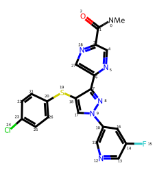 CNC(=O)c1cnc(-c2nn(-c3cncc(F)c3)cc2Sc2ccc(Cl)cc2)cn1